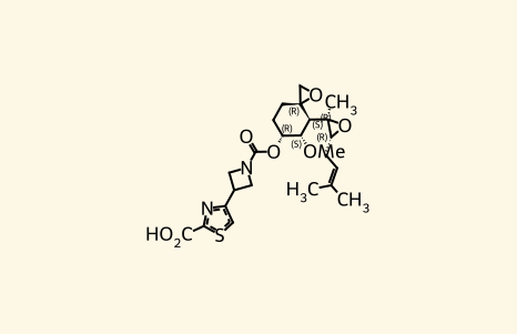 CO[C@@H]1[C@H](OC(=O)N2CC(c3csc(C(=O)O)n3)C2)CC[C@]2(CO2)[C@H]1[C@@]1(C)O[C@@H]1CC=C(C)C